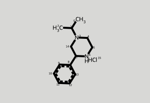 CC(C)N1CCNC(c2ccccc2)C1.Cl